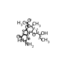 CC[C@H](O)C1C[C@@H]([C@@H](C)OC(C)=O)[C@H](n2c(=O)sc3c(=O)[nH]c(N)nc32)O1